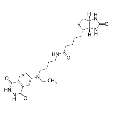 CCN(CCCCNC(=O)CCCC[C@@H]1SC[C@@H]2NC(=O)N[C@@H]21)c1ccc2c(=O)[nH][nH]c(=O)c2c1